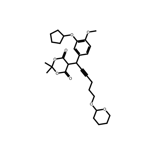 COc1ccc(C(C#CCCCOC2CCCCO2)C2C(=O)OC(C)(C)OC2=O)cc1OC1CCCC1